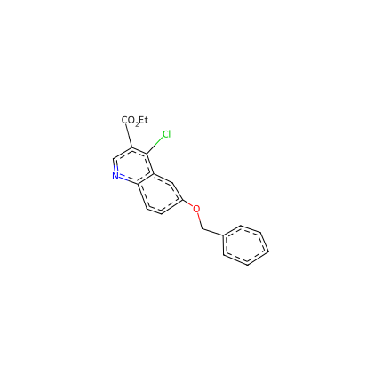 CCOC(=O)c1cnc2ccc(OCc3ccccc3)cc2c1Cl